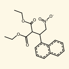 CCOC(=O)C(C(=O)OCC)C(C[N+](=O)[O-])c1cccc2ccccc12